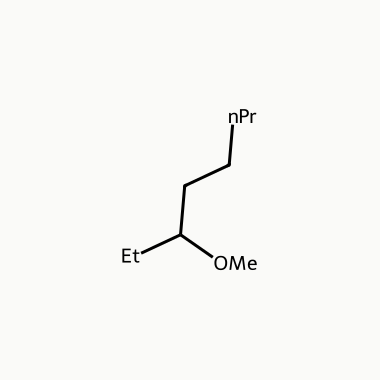 [CH2]CCCCC(CC)OC